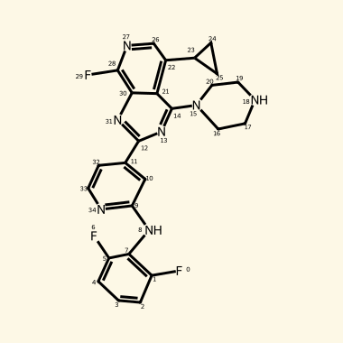 Fc1cccc(F)c1Nc1cc(-c2nc(N3CCNCC3)c3c(C4CC4)cnc(F)c3n2)ccn1